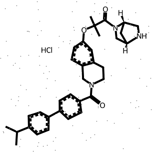 CC(C)c1ccc(-c2ccc(C(=O)N3CCc4cc(OC(C)(C)C(=O)N5C[C@@H]6C[C@H]5CN6)ccc4C3)cc2)cc1.Cl